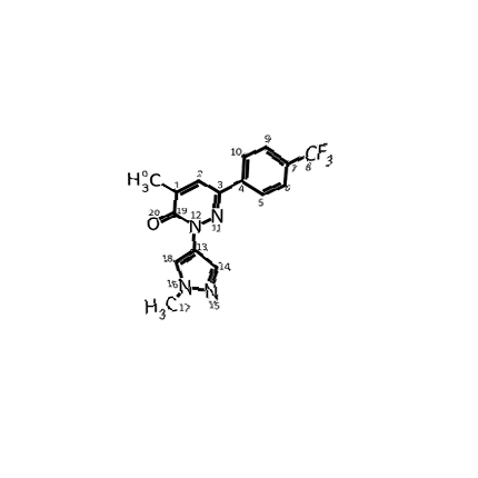 Cc1cc(-c2ccc(C(F)(F)F)cc2)nn(-c2cnn(C)c2)c1=O